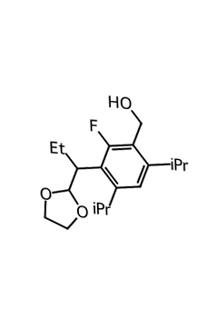 [CH2]CC(c1c(C(C)C)cc(C(C)C)c(CO)c1F)C1OCCO1